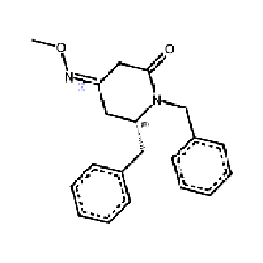 CO/N=C1\CC(=O)N(Cc2ccccc2)[C@H](Cc2ccccc2)C1